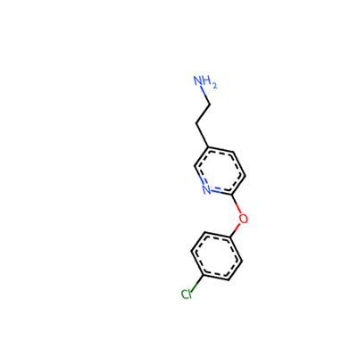 NCCc1ccc(Oc2ccc(Cl)cc2)nc1